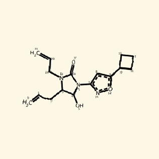 C=CCC1C(O)N(c2cc(C3CCC3)on2)C(=O)N1CC=C